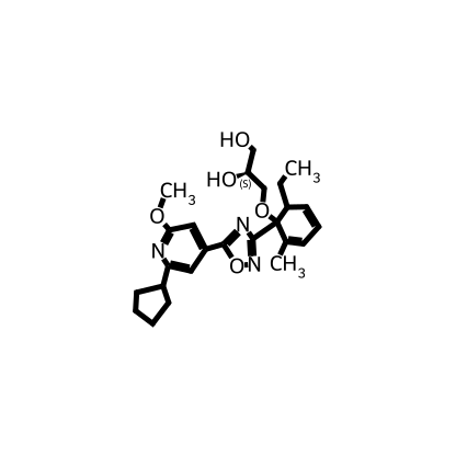 CCC1C=CC=C(C)C1(OC[C@@H](O)CO)c1noc(-c2cc(OC)nc(C3CCCC3)c2)n1